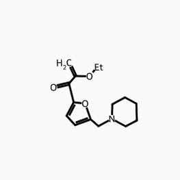 C=C(OCC)C(=O)c1ccc(CN2CCCCC2)o1